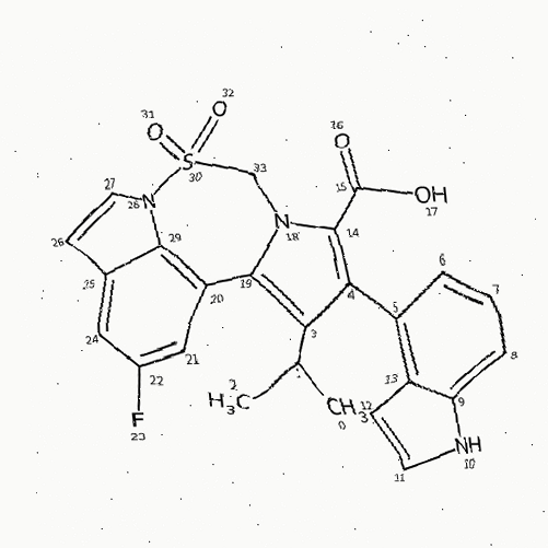 CC(C)c1c(-c2cccc3[nH]ccc23)c(C(=O)O)n2c1-c1cc(F)cc3ccn(c13)S(=O)(=O)C2